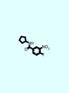 O=C(NC1CCCC1)c1ccc(F)c([N+](=O)[O-])c1